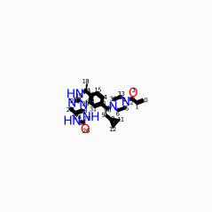 C=CC(=O)N1CCN([C@H](CC2CC2)c2ccc([C@H](C)Nc3ncc4[nH]c(=O)[nH]c4n3)cc2)CC1